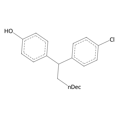 CCCCCCCCCCCC(c1ccc(O)cc1)c1ccc(Cl)cc1